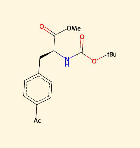 COC(=O)[C@H](Cc1ccc(C(C)=O)cc1)NC(=O)OC(C)(C)C